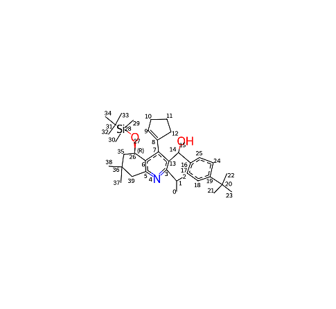 CC(C)c1nc2c(c(C3=CCCC3)c1C(O)c1ccc(C(C)(C)C)cc1)[C@H](O[Si](C)(C)C(C)(C)C)CC(C)(C)C2